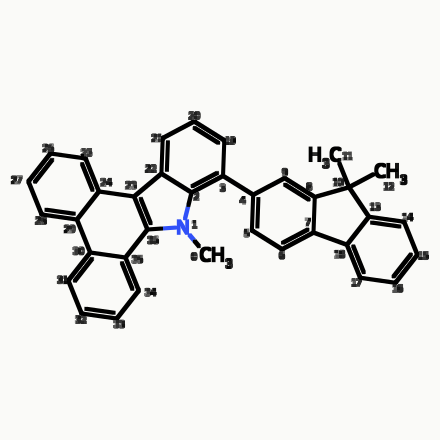 Cn1c2c(-c3ccc4c(c3)C(C)(C)c3ccccc3-4)cccc2c2c3ccccc3c3ccccc3c21